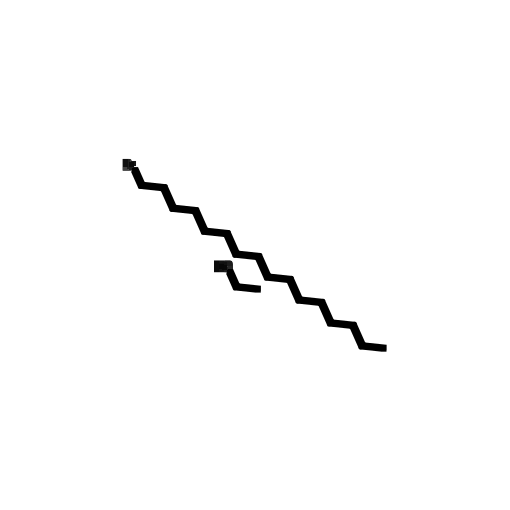 CCCCCCCCCCCCCCCCBr.CCO